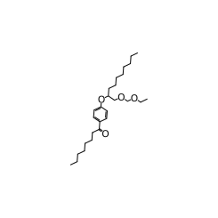 CCCCCCCCC(COCOCC)Oc1ccc(C(=O)CCCCCCC)cc1